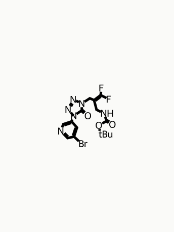 CC(C)(C)OC(=O)NCC(Cn1nnn(-c2cncc(Br)c2)c1=O)=C(F)F